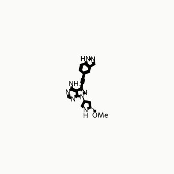 COC[C@H]1C[C@H](n2nc(C#Cc3ccc4[nH]ncc4c3)c3c(N)ncnc32)CN1